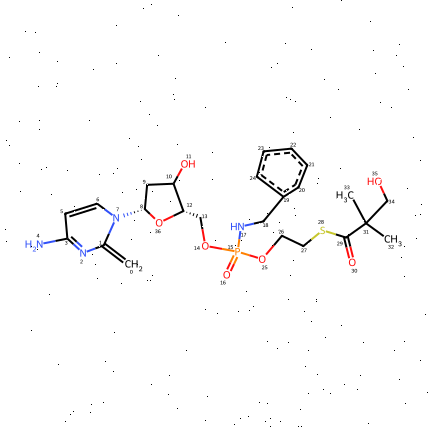 C=C1N=C(N)C=CN1[C@@H]1CC(O)[C@H](COP(=O)(NCc2ccccc2)OCCSC(=O)C(C)(C)CO)O1